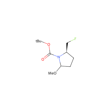 COC1CC[C@H](CF)N1C(=O)OC(C)(C)C